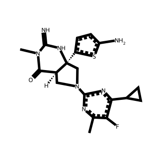 Cc1nc(N2C[C@H]3C(=O)N(C)C(=N)N[C@@]3(c3ccc(N)s3)C2)nc(C2CC2)c1F